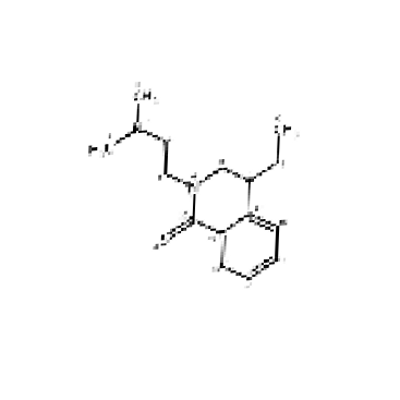 CCC1CN(CCN(C)C)C(=S)c2ccccc21